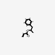 C=CC(=O)OC(C)Cc1ccccc1